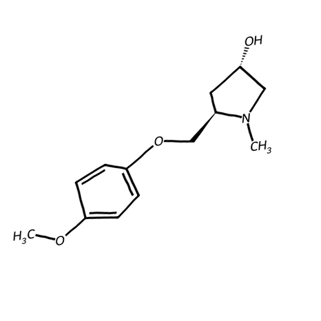 COc1ccc(OC[C@H]2C[C@H](O)CN2C)cc1